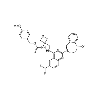 COc1ccc(COC(=O)NC2(CNc3nc(N4CC[S+]([O-])c5ccccc5C4)nc4ccc(C(F)F)cc34)COC2)cc1